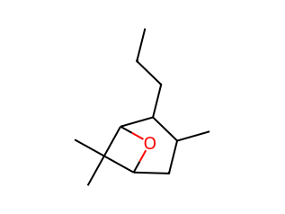 CCCC1C(C)CC2OC1C2(C)C